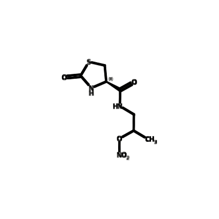 CC(CNC(=O)[C@@H]1CSC(=O)N1)O[N+](=O)[O-]